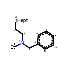 CCCCCCCCCN(CC)Cc1ccccc1